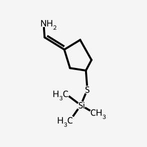 C[Si](C)(C)SC1CCC(=CN)C1